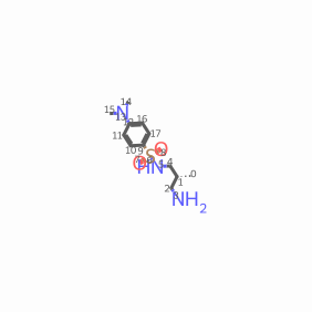 C[C@H](CN)CNS(=O)(=O)c1ccc(N(C)C)cc1